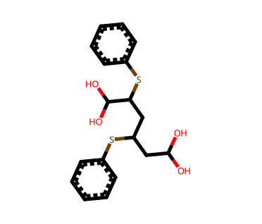 OC(O)CC(CC(Sc1ccccc1)C(O)O)Sc1ccccc1